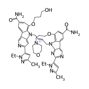 CCn1nc(C)cc1-c1cc2c(cn1)c1cc(C(N)=O)cc(OCCCO)c1n2C/C=C/Cn1c2nc(-c3cc(C)nn3CC)ncc2c2cc(C(N)=O)cc(OCCCN3CCOCC3)c21